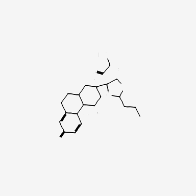 CCCC1O[C@@H](C)[C@](C(=O)CO)([C@]2(C)CC3CCC4=CC(=O)C=C[C@]4(C)C3[C@@H](O)C2)O1